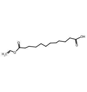 C=COC(=O)CCCCCCCCCCC(=O)O